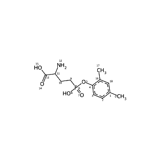 Cc1ccc(OP(=O)(O)CCC(N)C(=O)O)c(C)c1